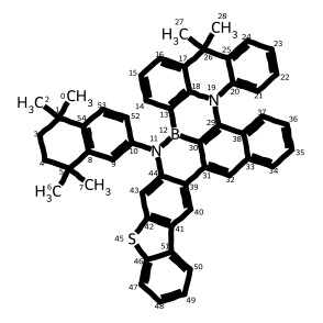 CC1(C)CCC(C)(C)c2cc(N3B4c5cccc6c5N(c5ccccc5C6(C)C)c5c4c(cc4ccccc54)-c4cc5c(cc43)sc3ccccc35)ccc21